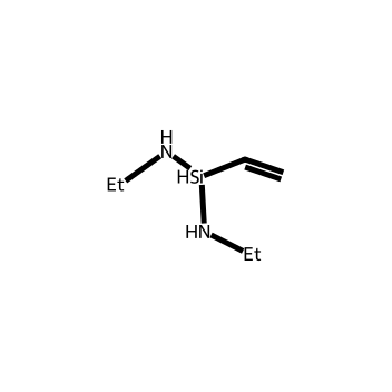 C=C[SiH](NCC)NCC